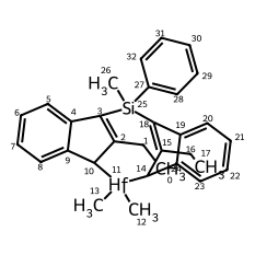 CCC1=C2c3ccccc3[CH]1[Hf]([CH3])([CH3])[CH]1C(CC)=C(c3ccccc31)[Si]2(C)c1ccccc1